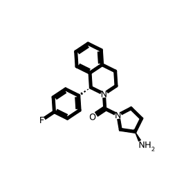 N[C@@H]1CCN(C(=O)N2CCc3ccccc3[C@H]2c2ccc(F)cc2)C1